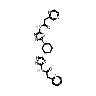 O=C(Cc1ccccn1)Nc1nnc([C@H]2CCC[C@H](c3nnc(NC(=O)Cc4cnccn4)s3)C2)s1